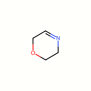 C1=NCCOC1